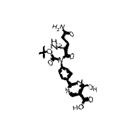 CC(C)(C)OC(=O)N(C(=O)[C@@H](N)CCC(N)=O)c1ccc(-c2ncc(C(=O)O)c(O)n2)cc1